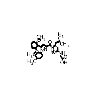 COc1cccc(OC)c1-c1cc(C(=O)N[C@@H](C=C(C)C)CC(=O)NCC(=O)O)nn1C1CCC(C)CC1